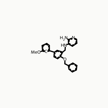 COc1cccc(-c2ccc(OCc3ccccc3)c(CNc3cccnc3N)c2)c1